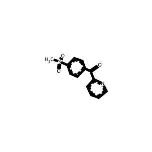 CS(=O)(=O)c1ccc(C(=O)c2ccccn2)cc1